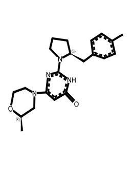 Cc1ccc(C[C@@H]2CCCN2c2nc(N3CCO[C@H](C)C3)cc(=O)[nH]2)cc1